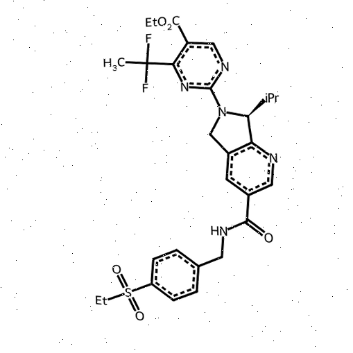 CCOC(=O)c1cnc(N2Cc3cc(C(=O)NCc4ccc(S(=O)(=O)CC)cc4)cnc3[C@@H]2C(C)C)nc1C(C)(F)F